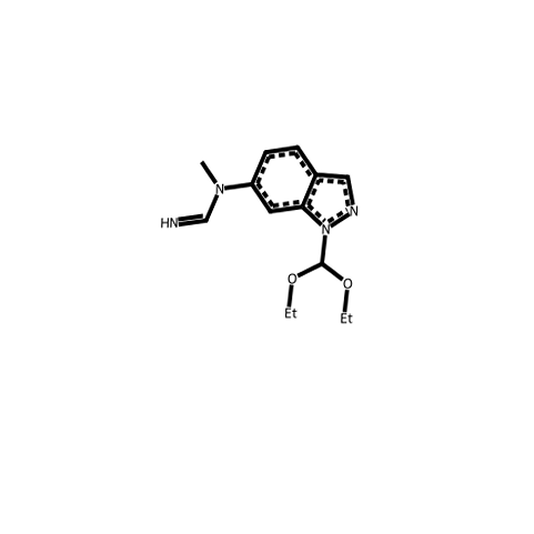 CCOC(OCC)n1ncc2ccc(N(C)C=N)cc21